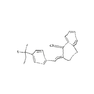 O=C1C(=Cc2ccc(C(F)(F)F)cc2)CCc2ccccc21